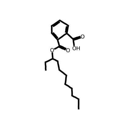 CCCCCCCCC(CC)OC(=O)c1ccccc1C(=O)O